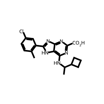 Cc1ccc(Cl)cc1-c1nc2nc(C(=O)O)nc(NC(C)C3CCC3)c2[nH]1